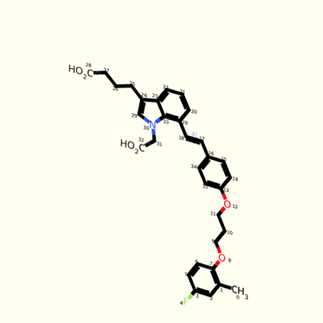 Cc1cc(F)ccc1OCCCOc1ccc(/C=C/c2cccc3c(CCCC(=O)O)cn(CC(=O)O)c23)cc1